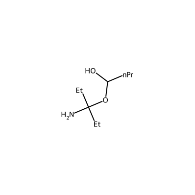 CCCC(O)OC(N)(CC)CC